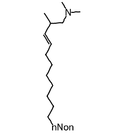 CCCCCCCCCCCCCCCCC=CC(C)CN(C)C